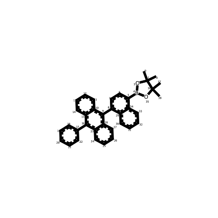 CC1(C)OB(c2ccc(-c3c4ccccc4c(-c4ccccc4)c4ccccc34)c3ccccc23)OC1(C)C